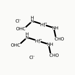 O=C[NH][Hf+][NH]C=O.O=C[NH][Hf+][NH]C=O.[Cl-].[Cl-]